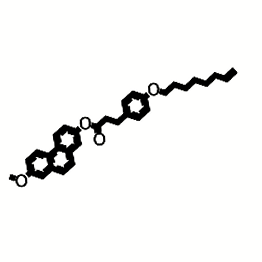 C=CCCCCCCOc1ccc(CCC(=O)Oc2ccc3c(ccc4cc(OC)ccc43)c2)cc1